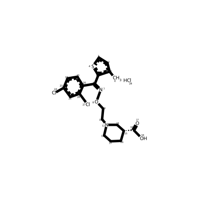 Cc1ccsc1/C(=N/OCCN1CCC[C@@H](C(=O)O)C1)c1ccc(Cl)cc1Cl.Cl